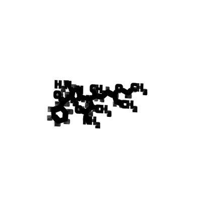 C=C/C(=C\C=C(/C)N(c1nc(N)c(C(=O)c2ccccc2)s1)C(C)C(N)=O)OCC